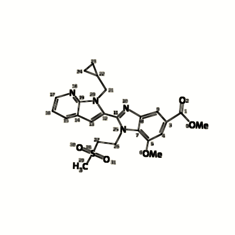 COC(=O)c1cc(OC)c2c(c1)nc(-c1cc3cccnc3n1CC1CC1)n2CCS(C)(=O)=O